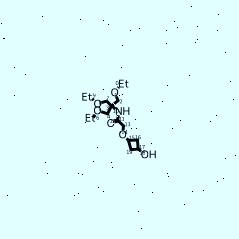 CCOCC(COCC)(COCC)NC(=O)COC1CC(O)C1